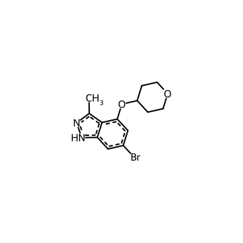 Cc1n[nH]c2cc(Br)cc(OC3CCOCC3)c12